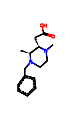 C[C@@H]1[C@H](CC(=O)O)N(C)CCN1Cc1ccccc1